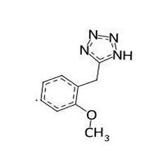 COc1c[c]ccc1Cc1nnn[nH]1